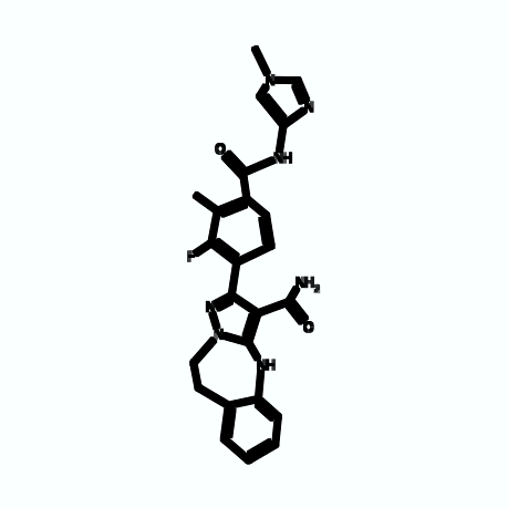 Cc1c(C(=O)Nc2cn(C)cn2)ccc(-c2nn3c(c2C(N)=O)Nc2ccccc2CC3)c1F